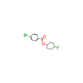 O=S(OC1CCC(F)CC1)c1ccc(Br)cc1